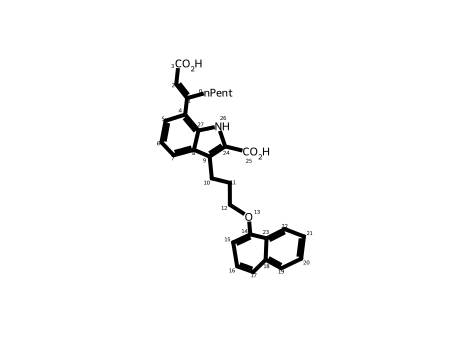 CCCCC/C(=C\C(=O)O)c1cccc2c(CCCOc3cccc4ccccc34)c(C(=O)O)[nH]c12